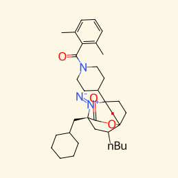 CCCCC1C[C@@]2(CC3CCCCC3)C(=O)OC13CCC(C1CCN(C(=O)c4c(C)cccc4C)CC1)(CC3)[N+]2=[N-]